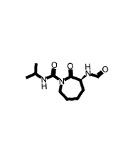 CC(C)NC(=O)N1CCCC[C@H](N[C]=O)C1=O